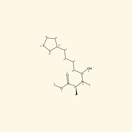 COC(=O)[C@H](C)N(C)C(O)CCCCC1CCSS1